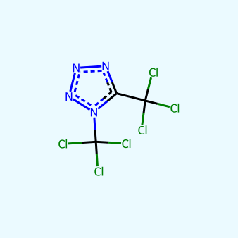 ClC(Cl)(Cl)c1nnnn1C(Cl)(Cl)Cl